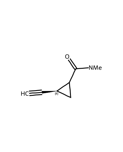 C#C[C@@H]1CC1C(=O)NC